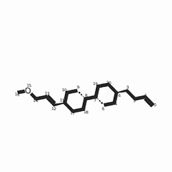 C=CCC[C@H]1CC[C@H]([C@H]2CC[C@H](C=CCOC)CC2)CC1